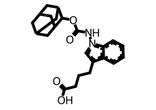 O=C(O)CCCc1cn(NC(=O)OC2C3CC4CC(C3)CC2C4)c2ccccc12